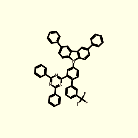 FC(F)(F)c1cccc(-c2ccc(-n3c4ccc(-c5ccccc5)cc4c4cc(-c5ccccc5)ccc43)cc2-c2nc(-c3ccccc3)nc(-c3ccccc3)n2)c1